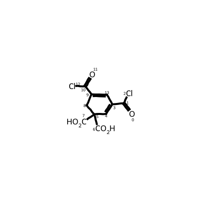 O=C(Cl)C1=CC(C(=O)O)(C(=O)O)CC(C(=O)Cl)=C1